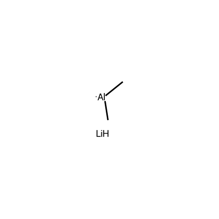 [CH3][Al][CH3].[LiH]